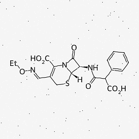 CCON=CC1=C(C(=O)O)N2C(=O)[C@@H](NC(=O)C(C(=O)O)c3ccccc3)[C@@H]2SC1